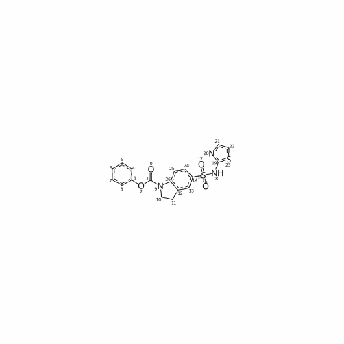 O=C(Oc1ccccc1)N1CCc2cc(S(=O)(=O)Nc3nccs3)ccc21